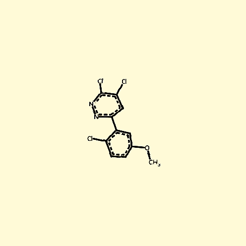 COc1ccc(Cl)c(-c2cc(Cl)c(Cl)nn2)c1